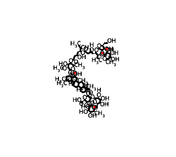 CC[C@H](C)[C@H](C[C@H](O)CC(=O)O[C@@H]1[C@H](O)[C@@H](OC)[C@H](OC(=O)[C@]23CCC(C)(C)C[C@H]2C2=CC[C@@H]4[C@@]5(C)CC[C@H](O[C@@H]6O[C@H](C(=O)O)[C@@H](O)[C@H](O[C@@H]7O[C@@H](C)[C@H](O)[C@@H](O)[C@H]7O)[C@H]6O[C@@H]6O[C@H](CO)[C@H](O)[C@H](O)[C@H]6O)[C@@](C)(C=O)[C@@H]5CC[C@@]4(C)[C@]2(C)C[C@H]3O)O[C@@H]1C)OC(=O)C[C@@H](O)C[C@H](O[C@@H]1O[C@@H](CCO)[C@H](O)[C@H]1O[C@@H]1O[C@@H](C)[C@H](O)[C@@H](O)[C@H]1O)[C@@H](C)CC